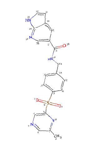 Cc1cncc(S(=O)(=O)c2ccc(CNC(=O)c3cnc4[nH]ccc4c3)cc2)n1